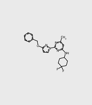 Cc1cc(NC2CCC(F)(F)CC2)nc(-n2ccc(OCc3ccccc3)n2)n1